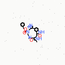 Cc1cc2c([nH]1)/C=C1\C(=O)Nc3ccc(cc31)-c1cnn(C)c1CN(C(=O)OCc1ccccc1)CCN(C)C2=O